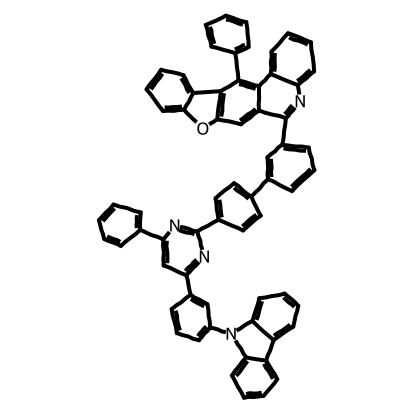 c1ccc(-c2cc(-c3cccc(-n4c5ccccc5c5ccccc54)c3)nc(-c3ccc(-c4cccc(-c5nc6ccccc6c6c(-c7ccccc7)c7c(cc56)oc5ccccc57)c4)cc3)n2)cc1